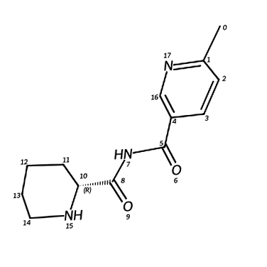 Cc1ccc(C(=O)NC(=O)[C@H]2CCCCN2)cn1